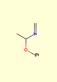 C=NC(C)OC(C)C